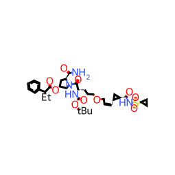 CCC(C(=O)O[C@@H]1C[C@@H](C(N)=O)N(C(=O)[C@H](CCCOC/C=C\[C@@H]2C[C@@H]2C(=O)NS(=O)(=O)C2CC2)NC(=O)OC(C)(C)C)C1)c1ccccc1